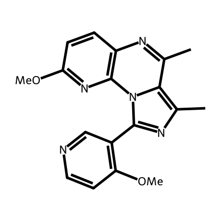 COc1ccc2nc(C)c3c(C)nc(-c4cnccc4OC)n3c2n1